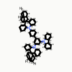 c1ccc2c(c1)N(c1ccc(-c3cc(N4c5ccccc5C5(c6ccccc64)C4C[C@H]6C[C@@H](C4)C[C@@H]5C6)cc(-n4c5ccccc5c5ccccc54)c3)cc1)c1ccccc1C21CC2CC[C@H]3CC1C[C@@H]2C3